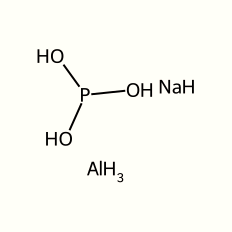 OP(O)O.[AlH3].[NaH]